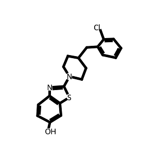 Oc1ccc2nc(N3CCC(Cc4ccccc4Cl)CC3)sc2c1